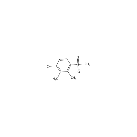 Cc1c(Cl)ccc(S(C)(=O)=O)c1C